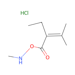 CCC(C(=O)ONC)=C(C)C.Cl